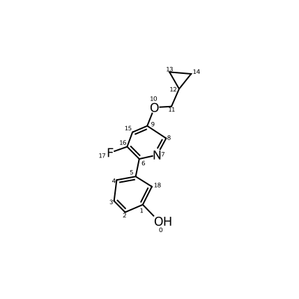 Oc1cccc(-c2ncc(OCC3CC3)cc2F)c1